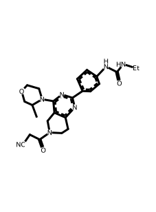 CCNC(=O)Nc1ccc(-c2nc3c(c(N4CCOCC4C)n2)CN(C(=O)CC#N)CC3)cc1